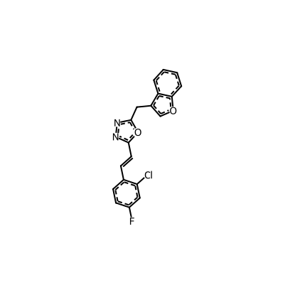 Fc1ccc(/C=C/c2nnc(Cc3coc4ccccc34)o2)c(Cl)c1